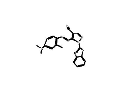 Cc1cc(N(C)C)ccc1/N=N/c1c(C#N)cnn1-c1nc2ccccc2s1